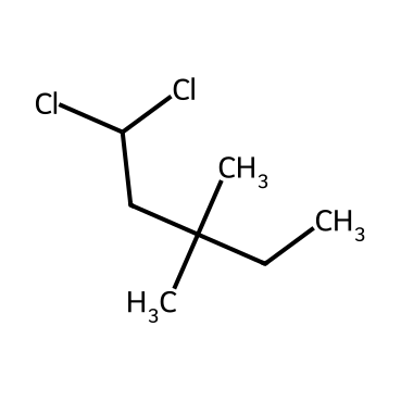 CCC(C)(C)CC(Cl)Cl